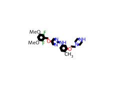 COc1cc(OC)c(F)c(COc2cnc(Nc3ccc(C)c(OCCN4CCNCC4)c3)nc2)c1F